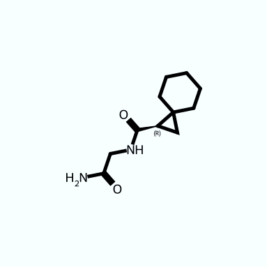 NC(=O)CNC(=O)[C@@H]1CC12CCCCC2